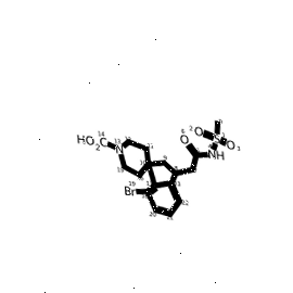 CS(=O)(=O)NC(=O)CC1CC2(CCN(C(=O)O)CC2)c2c(Br)cccc21